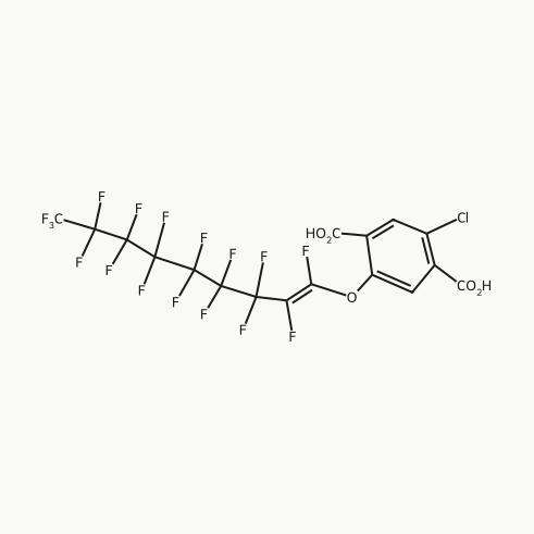 O=C(O)c1cc(OC(F)=C(F)C(F)(F)C(F)(F)C(F)(F)C(F)(F)C(F)(F)C(F)(F)C(F)(F)F)c(C(=O)O)cc1Cl